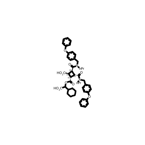 CCCN(Cc1ccc(Oc2ccccc2)cc1)C(=O)[C@@H]1[C@H](C(=O)O)[C@@H](C(=O)OC(C(=O)O)C2CCCCC2)[C@H]1C(=O)N(CCC)Cc1ccc(Oc2ccccc2)cc1